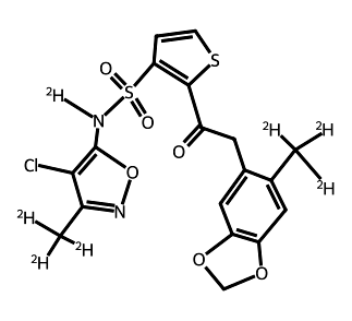 [2H]N(c1onc(C([2H])([2H])[2H])c1Cl)S(=O)(=O)c1ccsc1C(=O)Cc1cc2c(cc1C([2H])([2H])[2H])OCO2